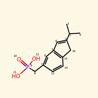 CC(C)C1=Cc2cc(CP(=O)(O)O)ccc2C1